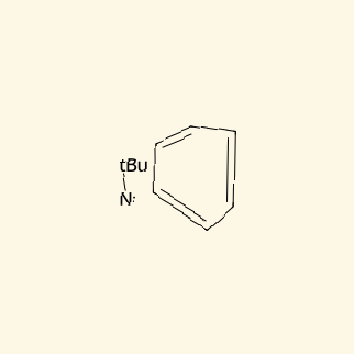 CC(C)(C)[N].c1ccccc1